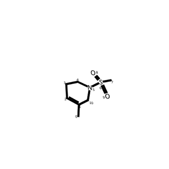 CC1=CCCN(S(C)(=O)=O)C1